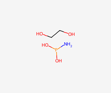 NP(O)O.OCCO